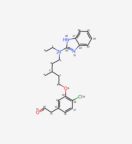 CCN(CCC(C)CCOc1cc(CC=O)ccc1Cl)c1nc2ccccc2[nH]1